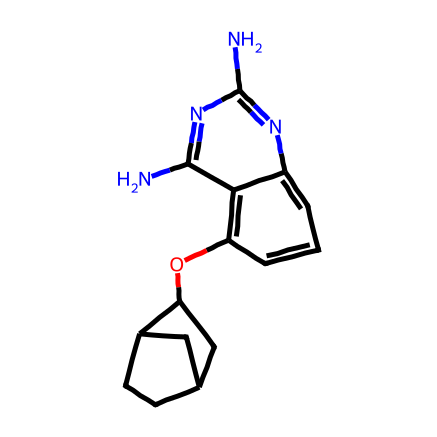 Nc1nc(N)c2c(OC3CC4CCC3C4)cccc2n1